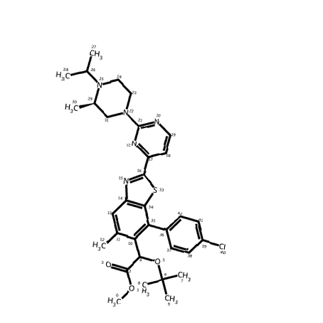 COC(=O)C(OC(C)(C)C)c1c(C)cc2nc(-c3ccnc(N4CCN(C(C)C)[C@H](C)C4)n3)sc2c1-c1ccc(Cl)cc1